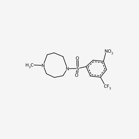 CN1CCCN(S(=O)(=O)c2[c]c(C(F)(F)F)cc([N+](=O)[O-])c2)CCC1